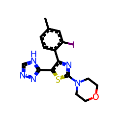 Cc1ccc(-c2nc(N3CCOCC3)sc2-c2nnc[nH]2)c(I)c1